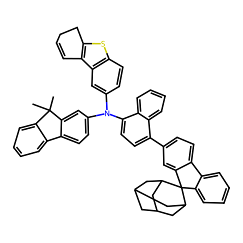 CC1(C)c2ccccc2-c2ccc(N(c3ccc4sc5c(c4c3)C=CCC5)c3ccc(-c4ccc5c(c4)C4(c6ccccc6-5)C5CC6CC(C5)CC4C6)c4ccccc34)cc21